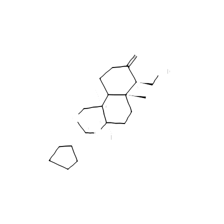 C=C1CCC2[C@]3(C)CO[C@@H](C4CCCC4)O[C@@H]3CC[C@@]2(C)[C@@H]1CC=O